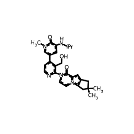 CC(C)Nc1cc(-c2ccnc(-n3ccn4c5c(cc4c3=O)CC(C)(C)C5)c2CO)cn(C)c1=O